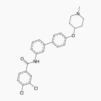 CN1CCC(Oc2ccc(-c3cccc(NC(=O)c4ccc(Cl)c(Cl)c4)c3)cc2)CC1